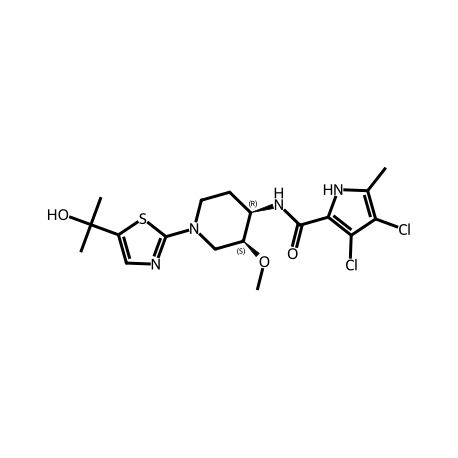 CO[C@H]1CN(c2ncc(C(C)(C)O)s2)CC[C@H]1NC(=O)c1[nH]c(C)c(Cl)c1Cl